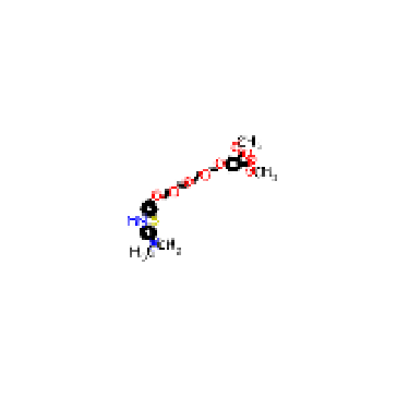 COC(=O)c1ccc(OCCOCCOCCOCCOc2ccc3c(c2)Sc2cc(N(C)C)ccc2N3)cc1C(=O)OC